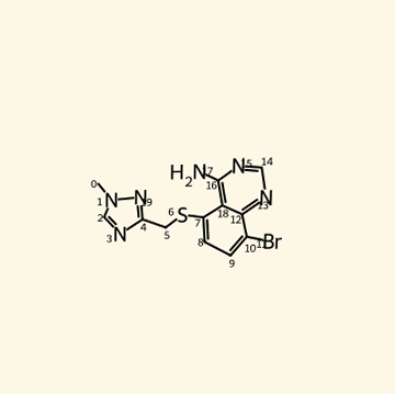 Cn1cnc(CSc2ccc(Br)c3ncnc(N)c23)n1